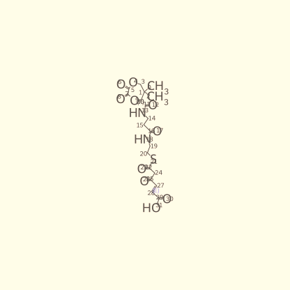 CC1(C)COC(=O)C(=O)O[C@H]1C(=O)NCCC(=O)NCCSC(=O)CC(=O)/C=C/C(=O)O